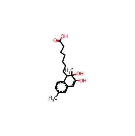 Cc1ccc2c(c1)C=C(O)C(C)(O)C2CCCCCCC(=O)O